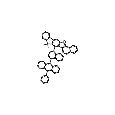 CC1(C)c2ccccc2-c2cc3oc4c5ccccc5ccc4c3c(-c3ccc(-c4c5ccccc5c(-c5ccccc5)c5ccccc45)c4ccccc34)c21